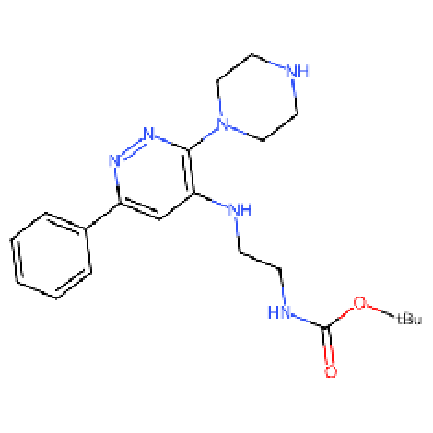 CC(C)(C)OC(=O)NCCNc1cc(-c2ccccc2)nnc1N1CCNCC1